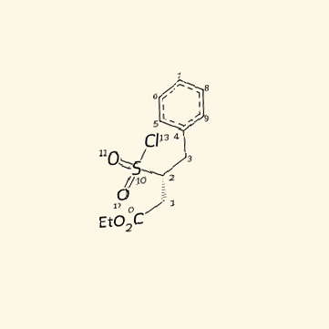 CCOC(=O)C[C@@H](Cc1ccccc1)S(=O)(=O)Cl